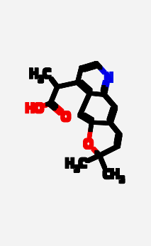 CC(C(=O)O)c1ccnc2cc3c(cc12)OC(C)(C)C=C3